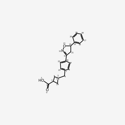 O=C(O)C1CN(Cc2ccc(C3=NOC(c4ccccc4)C3)cc2)C1